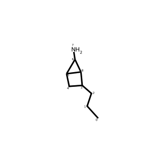 CCCC1CC2C(N)C12